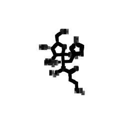 CN(C(=O)CCN)[C@@](Cc1c[nH]cn1)(C(=O)O)C1(C)O[C@H](CO)[C@@H](O)[C@@H]1O